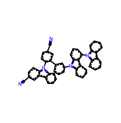 N#Cc1ccc(-n2c3ccccc3c3cc(C#N)ccc32)c(-c2cccc(-n3c4ccccc4c4c(-n5c6ccccc6c6ccccc65)cccc43)c2)c1